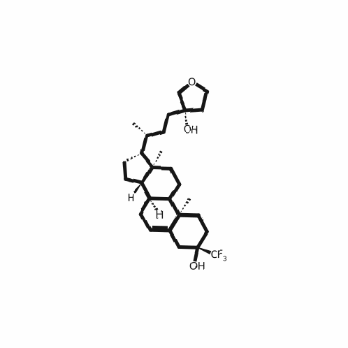 C[C@H](CC[C@]1(O)CCOC1)[C@H]1CC[C@H]2[C@@H]3CC=C4C[C@](O)(C(F)(F)F)CC[C@]4(C)C3CC[C@]12C